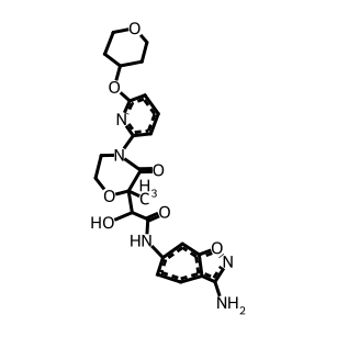 CC1(C(O)C(=O)Nc2ccc3c(N)noc3c2)OCCN(c2cccc(OC3CCOCC3)n2)C1=O